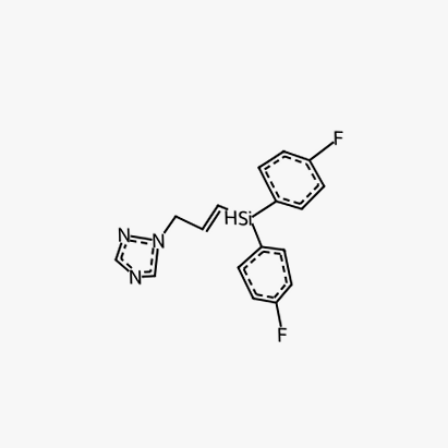 Fc1ccc([SiH](C=CCn2cncn2)c2ccc(F)cc2)cc1